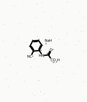 N#Cc1ccccc1NC(=O)C(=O)O.[NaH]